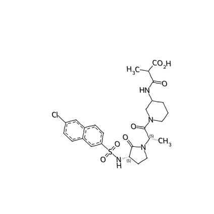 CC(C(=O)O)C(=O)NC1CCCN(C(=O)[C@H](C)N2CC[C@H](NS(=O)(=O)c3ccc4cc(Cl)ccc4c3)C2=O)C1